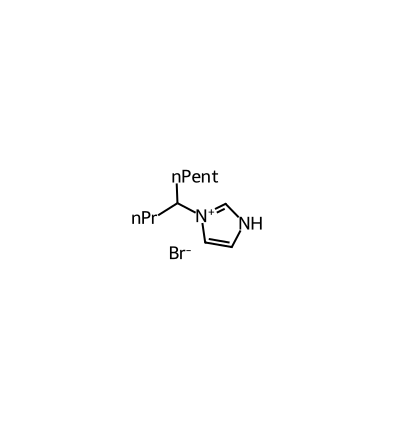 CCCCCC(CCC)[n+]1cc[nH]c1.[Br-]